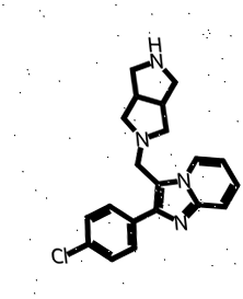 Clc1ccc(-c2nc3ccccn3c2CN2CC3CNCC3C2)cc1